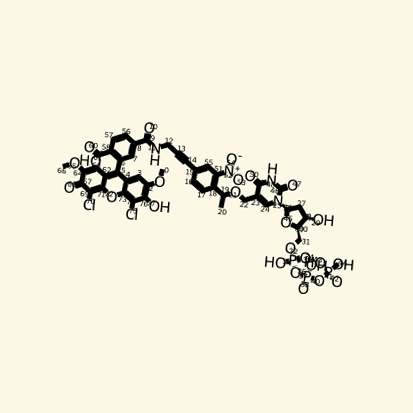 COc1cc2c(-c3cc(C(=O)NCC#Cc4ccc(C(C)OCc5cn([C@H]6C[C@@H](O)[C@@H](COP(=O)(O)OP(=O)(O)OP(=O)(O)O)O6)c(=O)[nH]c5=O)c([N+](=O)[O-])c4)ccc3C(=O)O)c3cc(OC)c(=O)c(Cl)c-3oc2c(Cl)c1O